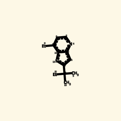 CCc1ccnc2cc(C(C)(C)CC)sc12